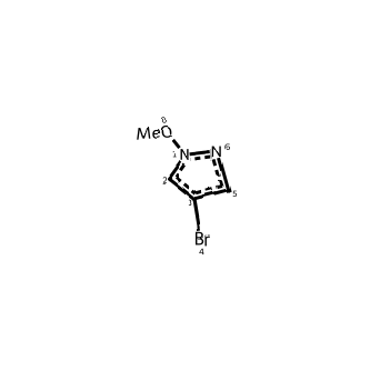 [CH2]On1cc(Br)cn1